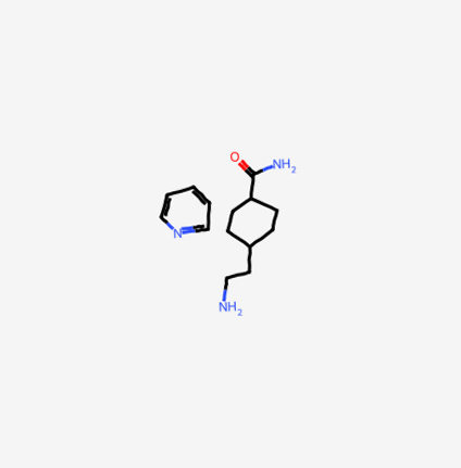 NCCC1CCC(C(N)=O)CC1.c1ccncc1